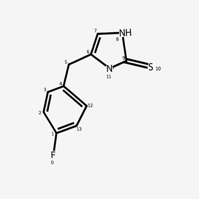 Fc1ccc(CC2=CNC(=S)[N]2)cc1